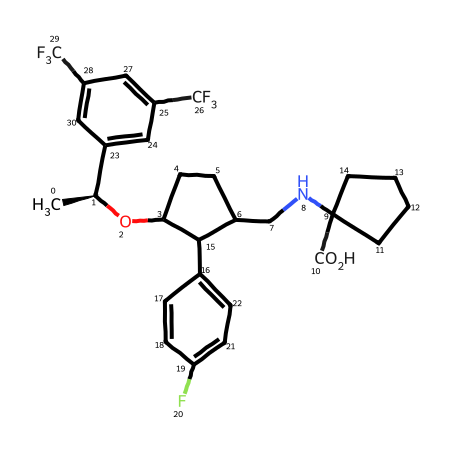 C[C@H](OC1CCC(CNC2(C(=O)O)CCCC2)C1c1ccc(F)cc1)c1cc(C(F)(F)F)cc(C(F)(F)F)c1